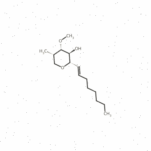 CCCCCC/C=C/[C@@H]1OC[C@H](C)[C@H](OC)[C@H]1O